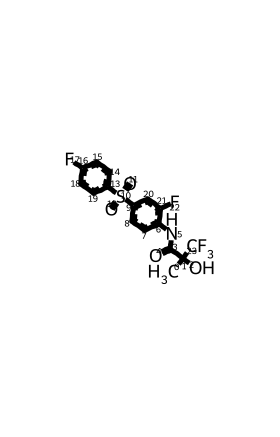 CC(O)(C(=O)Nc1ccc(S(=O)(=O)c2ccc(F)cc2)cc1F)C(F)(F)F